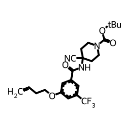 C=CCCOc1cc(C(=O)NC2(C#N)CCN(C(=O)OC(C)(C)C)CC2)cc(C(F)(F)F)c1